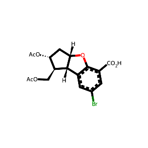 CC(=O)OC[C@@H]1[C@H]2c3cc(Br)cc(C(=O)O)c3O[C@H]2C[C@H]1OC(C)=O